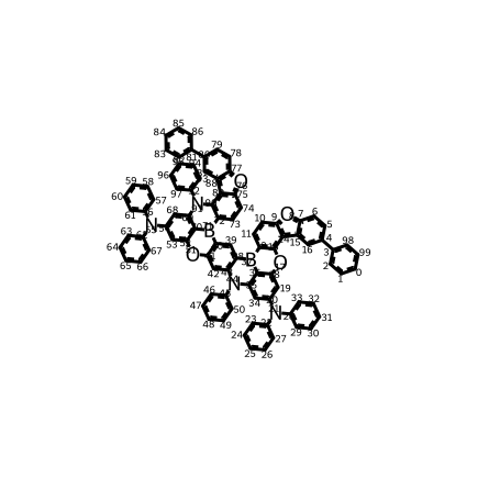 c1ccc(-c2ccc3oc4ccc5c(c4c3c2)Oc2cc(N(c3ccccc3)c3ccccc3)cc3c2B5c2cc4c(cc2N3c2ccccc2)Oc2cc(N(c3ccccc3)c3ccccc3)cc3c2B4c2ccc4oc5ccc(-c6ccccc6)cc5c4c2N3c2ccccc2)cc1